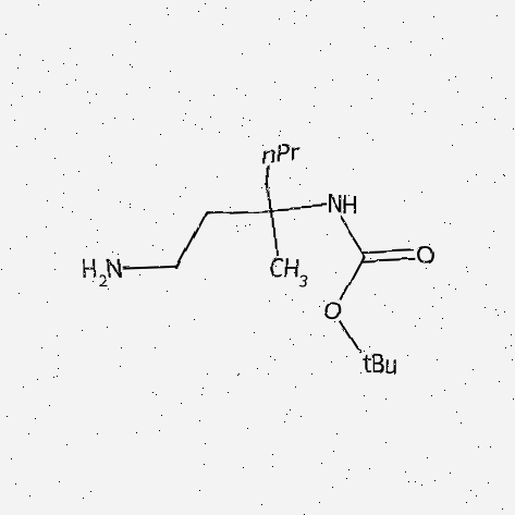 CCCC(C)(CCN)NC(=O)OC(C)(C)C